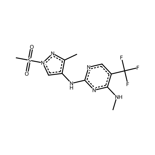 CNc1nc(Nc2cn(S(C)(=O)=O)nc2C)ncc1C(F)(F)F